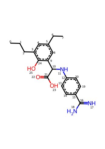 CCCc1cc(CC)cc(C(Nc2ccc(C(=N)N)cc2)C(=O)O)c1O